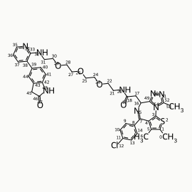 Cc1sc2c(c1C)C(c1ccc(Cl)cc1)=NC(CC(=O)NCCOCCOCCOCCNc1ncccc1-c1ccc3c(c1)CC(=O)N3)c1nnc(C)n1-2